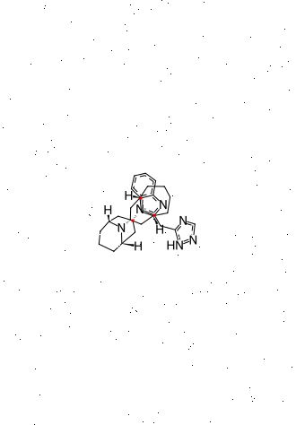 c1ccc2c(c1)nc(Cc1ncn[nH]1)n2[C@H]1C[C@H]2CCC[C@@H](C1)N2[C@@H]1C[C@@H]2CCCC[C@@H](C2)C1